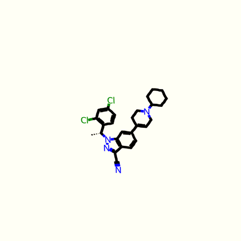 C[C@H](c1ccc(Cl)cc1Cl)n1nc(C#N)c2ccc(C3=CCN(C4CCCCC4)CC3)cc21